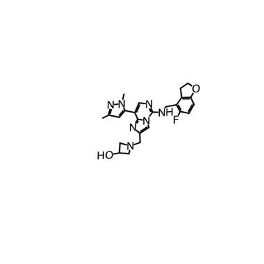 Cc1cc(-c2cnc(NCc3c(F)ccc4c3CCO4)n3cc(CN4CC(O)C4)nc23)n(C)n1